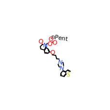 CCCCCOC(=O)OCN1C(=O)CCc2ccc(OCCCCN3CCN(c4cccc5sccc45)CC3)cc21